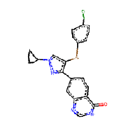 O=c1[nH]cnc2cc(-c3nn(C4CC4)cc3Sc3ccc(Cl)cc3)ccc12